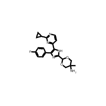 CC1(N)COC(c2nc(-c3ccc(F)cc3)c(-c3ccnc([C]4CC4)n3)[nH]2)OC1